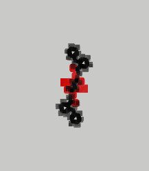 O=C(COC(=O)C(O)C(O)C(=O)OCC(=O)c1ccccc1Cc1ccccc1)c1ccccc1Cc1ccccc1